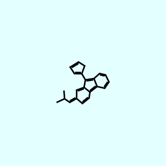 CC(C)C=c1[c]c2c(cc1)=c1ccccc1=C2C1=CC=CC1